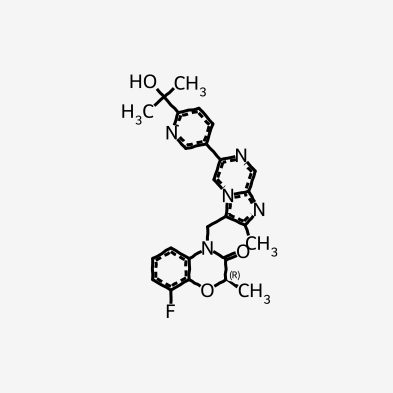 Cc1nc2cnc(-c3ccc(C(C)(C)O)nc3)cn2c1CN1C(=O)[C@@H](C)Oc2c(F)cccc21